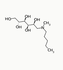 CCCCCN(C)C[C@H](O)[C@@H](O)[C@H](O)[C@H](O)CO